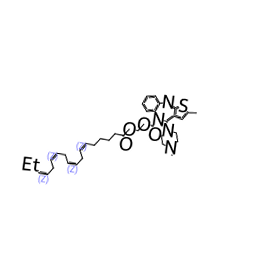 CC/C=C\C/C=C\C/C=C\C/C=C\CCCCC(=O)OCOC(=O)N1C(N2CCN(C)CC2)=c2cc(C)sc2=Nc2ccccc21